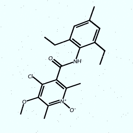 CCc1cc(C)cc(CC)c1NC(=O)c1c(Cl)c(OC)c(C)[n+]([O-])c1C